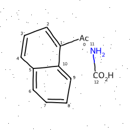 CC(=O)c1cccc2ccccc12.NC(=O)O